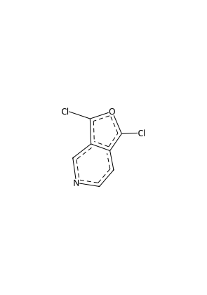 Clc1oc(Cl)c2cnccc12